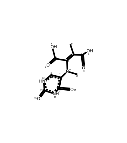 CC(C(=O)O)=C(C(=O)O)N(C)c1c[nH]c(=O)[nH]c1=O